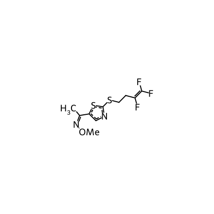 CO/N=C(/C)c1cnc(SCCC(F)=C(F)F)s1